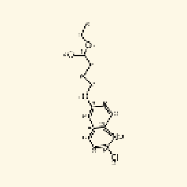 CCOC(=O)CCCOc1ccc2nc(Cl)ccc2c1